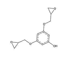 Oc1cc(OCC2CO2)cc(OCC2CO2)c1